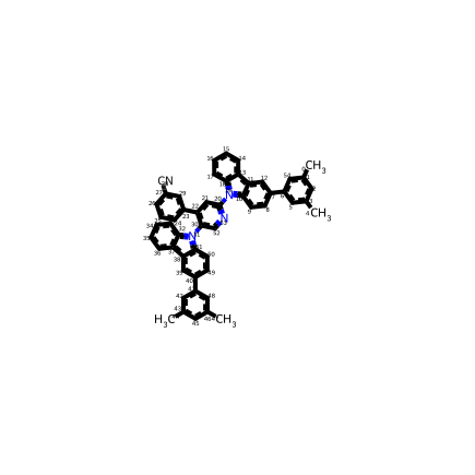 Cc1cc(C)cc(-c2ccc3c(c2)c2ccccc2n3-c2cc(-c3cccc(C#N)c3)c(-n3c4ccccc4c4cc(-c5cc(C)cc(C)c5)ccc43)cn2)c1